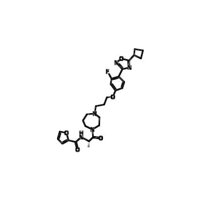 C[C@H](NC(=O)c1ccco1)C(=O)N1CCCN(CCCOc2ccc(-c3noc(C4CCC4)n3)c(F)c2)CC1